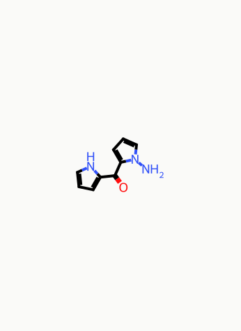 Nn1cccc1C(=O)c1ccc[nH]1